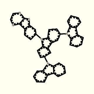 c1ccc2c(c1)c1ccccc1n2-c1ccc2c(c1)c1cc(-n3c4ccccc4c4ccccc43)ccc1n2-c1ccc2c(c1)sc1nccnc12